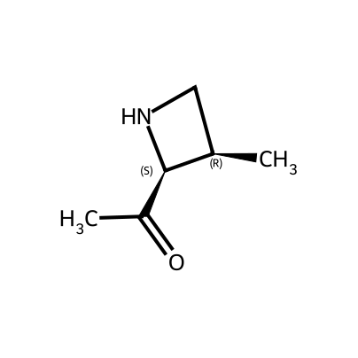 CC(=O)[C@H]1NC[C@H]1C